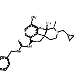 CCCC1(O)C(C)N(CC2CC2)CCC1(CC(=O)NC(=O)NCc1ccccc1)c1cc(O)ccc1C